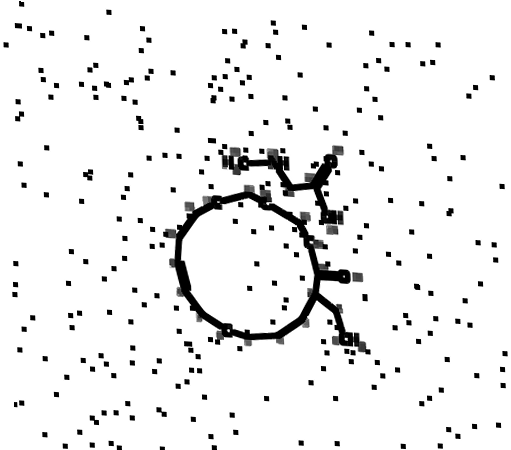 CCC1CCCCCC=CCCCCCCCC1=O.CNCC(=O)O